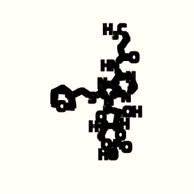 CCCC(=O)Nc1ncnc2c1nc(SCc1ccccc1)n2[C@@H]1O[C@@H]2COP(=O)(O)O[C@H]2[C@H]1O